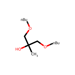 CCCCOCC(C)(O)COCCCC